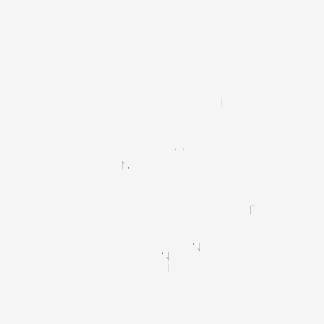 O=C(c1c(C(F)F)n[nH]c1CF)N(Cc1cc(F)ccc1C1CC1)C1CC1